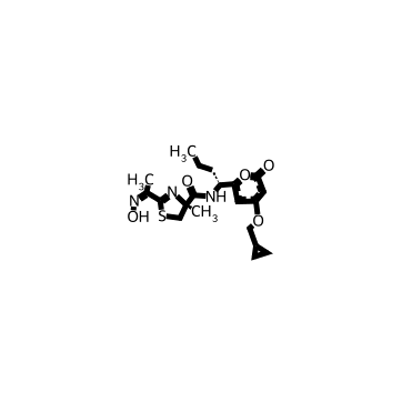 CCC[C@@H](NC(=O)[C@]1(C)CSC(/C(C)=N\O)=N1)c1cc(OCC2CC2)cc(=O)o1